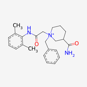 Cc1cccc(C)c1NC(=O)C[N+]1(Cc2ccccc2)CCCC(C(N)=O)C1